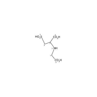 O=C(O)CNC(CS(=O)(=O)O)C(=O)O